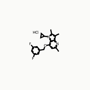 Cc1cc(OCc2cc(F)cc(F)c2)c2c(n1)c(C)c(C)n2C1CC1.Cl